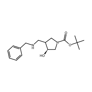 CC(C)(C)OC(=O)N1CC(CNCc2ccccc2)[C@H](O)C1